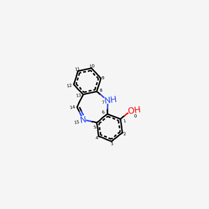 Oc1cccc2c1Nc1ccccc1C=N2